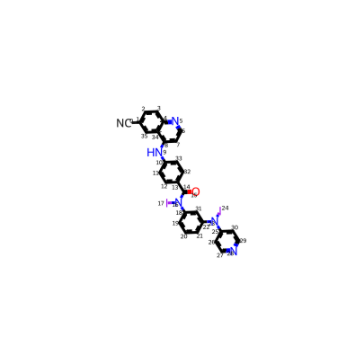 N#Cc1ccc2nccc(Nc3ccc(C(=O)N(I)c4cccc(N(I)c5ccncc5)c4)cc3)c2c1